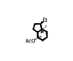 CCC1CCC2[C@@H](OC(C)=O)CCC[C@]12C